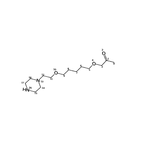 CC(=O)COCCCCCOCCN1CCNCC1